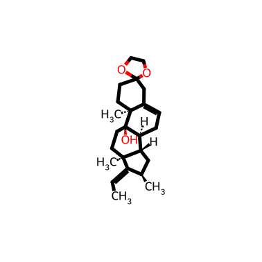 C/C=C1\[C@H](C)C[C@H]2[C@@H]3CC=C4CC5(CC[C@]4(C)[C@@]3(O)CC[C@]12C)OCCO5